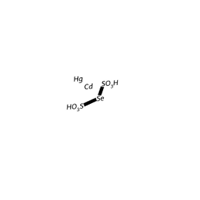 O=S(=O)(O)[Se]S(=O)(=O)O.[Cd].[Hg]